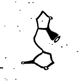 O=C1OCCC1CC1CCOC1=O